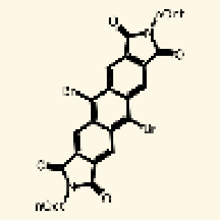 CCCCCCCCn1c(=O)c2cc3c(Br)c4cc5c(=O)n(CCCCCCCC)c(=O)c5cc4c(Br)c3cc2c1=O